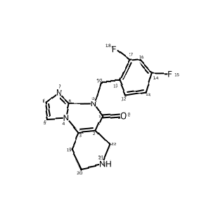 O=c1c2c(n3ccnc3n1Cc1ccc(F)cc1F)CCNC2